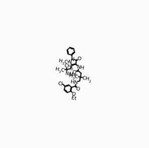 CCOc1ccc(Cl)cc1C(=O)NCC(C)(C)CC(=O)Nc1c(CC(C)(C)NC)n(C)n(-c2ccccc2)c1=O